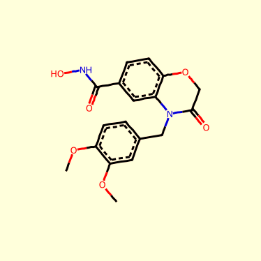 COc1ccc(CN2C(=O)COc3ccc(C(=O)NO)cc32)cc1OC